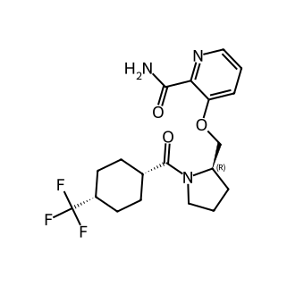 NC(=O)c1ncccc1OC[C@H]1CCCN1C(=O)[C@H]1CC[C@@H](C(F)(F)F)CC1